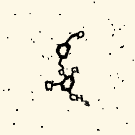 Cc1cc(Cl)c(OCCc2ccc(C=O)cc2)c(Cl)c1